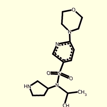 CC(C)N(C1CCNC1)S(=O)(=O)c1ccc(N2CCOCC2)nc1